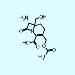 CC(=O)OCC1=C(C(=O)O)N2C(=O)[C@H](N)C2(CO)SC1